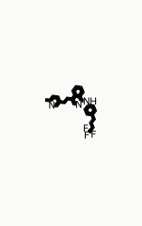 Cc1ccc(CCc2cnc(Nc3ccc(CCCC(F)(F)F)cc3)c3ccccc23)cn1